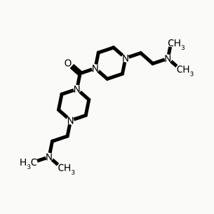 CN(C)CCN1CCN(C(=O)N2CCN(CCN(C)C)CC2)CC1